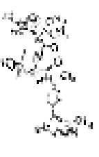 CC1=C(c2ccc([C@H](C)NC(=O)[C@@H]3C[C@@H](O)CN3C(=O)[C@@H](NC(=O)CCl)C(C)(C)C)cc2)[SH]=CN1